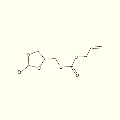 C=CCOC(=O)OCC1COC(CC)O1